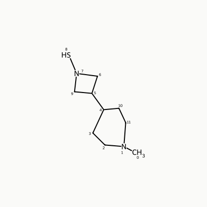 CN1CCC(C2CN(S)C2)CC1